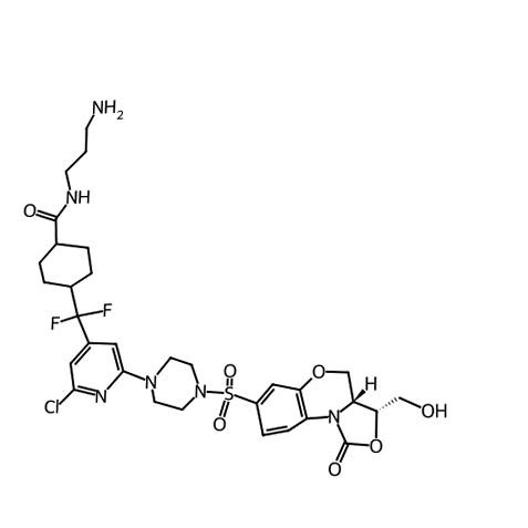 NCCCNC(=O)C1CCC(C(F)(F)c2cc(Cl)nc(N3CCN(S(=O)(=O)c4ccc5c(c4)OC[C@@H]4[C@H](CO)OC(=O)N54)CC3)c2)CC1